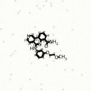 COCCOc1cccc(Nc2nc3c(C(N)=O)cccc3c3cnccc23)c1